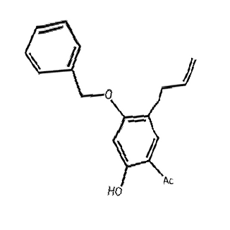 C=CCc1cc(C(C)=O)c(O)cc1OCc1ccccc1